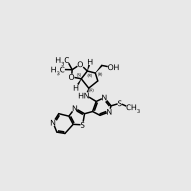 CSc1ncc(-c2nc3cnccc3s2)c(N[C@@H]2C[C@H](CO)[C@H]3OC(C)(C)O[C@H]32)n1